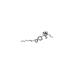 CCCCC/C=C/COc1ccc(-c2nnc(CCC)s2)cc1